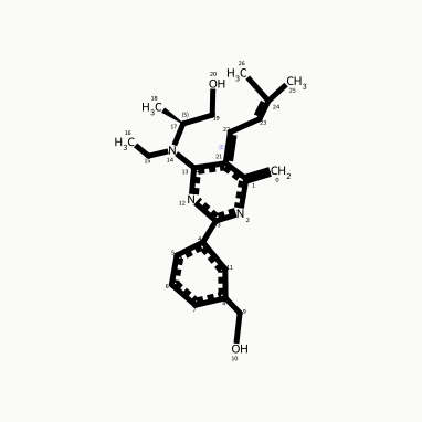 C=c1nc(-c2cccc(CO)c2)nc(N(CC)[C@@H](C)CO)/c1=C/C=C(C)C